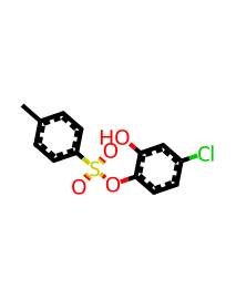 Cc1ccc(S(=O)(=O)Oc2ccc(Cl)cc2O)cc1